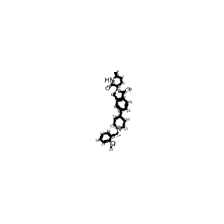 C=C1CCC(N2Cc3cc(C4CCN(Cc5ccccc5OC)CC4)ccc3C2=O)C(=O)N1